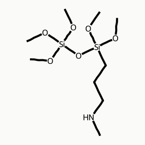 CNCCC[Si](OC)(OC)O[Si](OC)(OC)OC